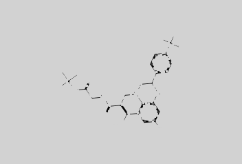 CC(C)(C)OC(=O)CNC(=O)C1=C(O)c2cc(F)cc3c2N(C1)CC(c1ccc(C(F)(F)F)cc1)N3